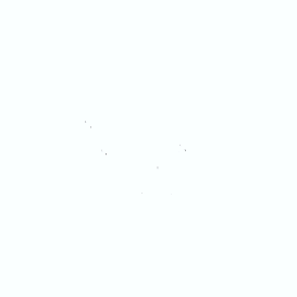 CNC1(c2nncs2)CC1